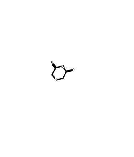 O=C1COCC(=S)O1